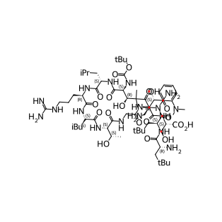 CC[C@H](C)[C@H](NC(=O)[C@@H](CCCNC(=N)N)NC(=O)[C@H](CC(C)C)NC(=O)[C@@H](NC(=O)OC(C)(C)C)[C@H](O)C(C)(C)C(=O)[C@H](CN)N(C(=O)[C@H](CC(C)(C)C)NC(=O)[C@H](N)CC(C)(C)C)c1ccccc1N(C)C)C(=O)N[C@H](C(=O)NCC(=O)N[C@H](C(=O)N[C@@H](CO)C(=O)O)[C@H](O)C(N)=O)[C@H](C)O